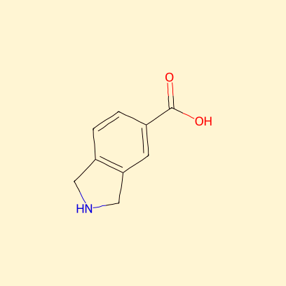 O=C(O)c1ccc2c(c1)CNC2